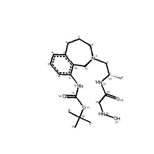 C[C@@H](CN1CCCc2cccc(NC(=O)OC(C)(C)C)c2C1)NC(=O)CNO